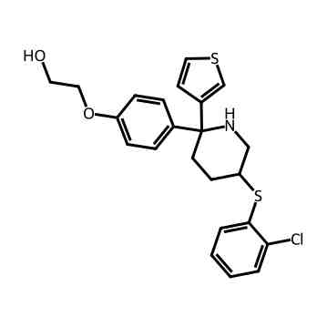 OCCOc1ccc(C2(c3ccsc3)CCC(Sc3ccccc3Cl)CN2)cc1